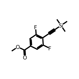 COC(=O)c1cc(F)c(C#C[Si](C)(C)C)c(F)c1